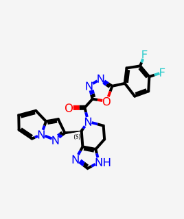 O=C(c1nnc(-c2ccc(F)c(F)c2)o1)N1CCc2[nH]cnc2[C@H]1c1cc2ccccn2n1